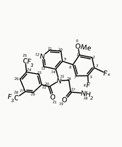 COc1cc(F)c(F)cc1-c1ccncc1N(CC(N)=O)C(=O)c1cc(C(F)(F)F)cc(C(F)(F)F)c1